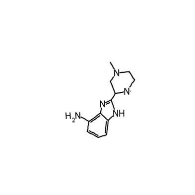 CN1CC[N]C(c2nc3c(N)cccc3[nH]2)C1